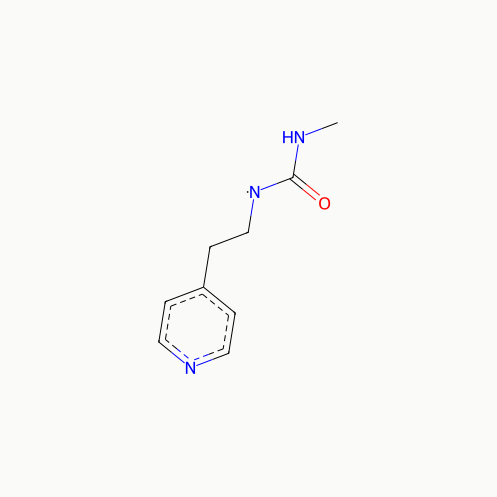 CNC(=O)[N]CCc1ccncc1